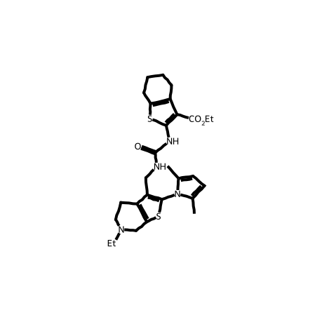 CCOC(=O)c1c(NC(=O)NCc2c(-n3c(C)ccc3C)sc3c2CCN(CC)C3)sc2c1CCCC2